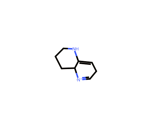 C1=[N+]C2CCCNC2=CC1